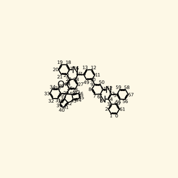 c1ccc(-c2nc3ccc(-c4cccc(-c5nc6ccccc6c6c7c(ccc56)C5(c6ccccc6O7)c6ccccc6-c6ccccc65)c4)cc3nc2-c2ccccc2)cc1